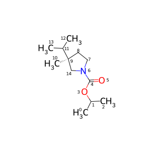 CC(C)OC(=O)N1CC[C@](C)(C(C)C)C1